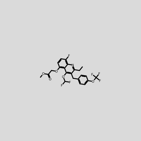 CCc1nc2c(F)ccc(OCC(=O)OC)c2c(OC(F)F)c1Cc1ccc(OC(F)(F)F)cc1